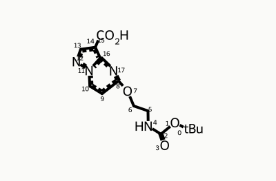 CC(C)(C)OC(=O)NCCOc1ccn2ncc(C(=O)O)c2n1